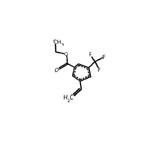 C=Cc1cc(C(=O)OCC)cc(C(F)(F)F)c1